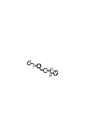 O=C(Nc1cccnn1)N1CCC(=Cc2cccc(OCC3CCCO3)c2)CC1